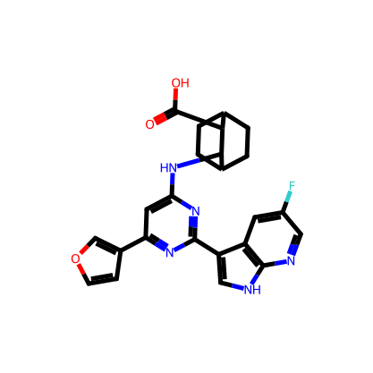 O=C(O)C1C2CCC(CC2)C1Nc1cc(-c2ccoc2)nc(-c2c[nH]c3ncc(F)cc23)n1